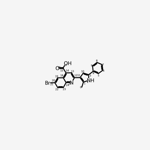 Cc1[nH]c(-c2ccccc2)cc1-c1cc(C(=O)O)c2cc(Br)ccc2n1